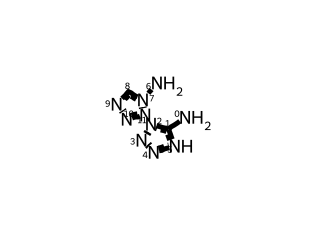 Nc1nnn[nH]1.Nn1cnnn1